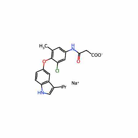 Cc1cc(NC(=O)CC(=O)[O-])cc(Cl)c1Oc1ccc2[nH]cc(C(C)C)c2c1.[Na+]